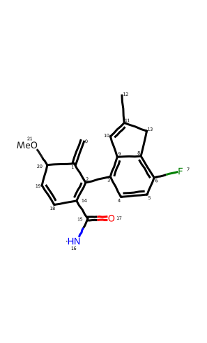 C=C1C(c2ccc(F)c3c2C=C(C)C3)=C(C([NH])=O)C=CC1OC